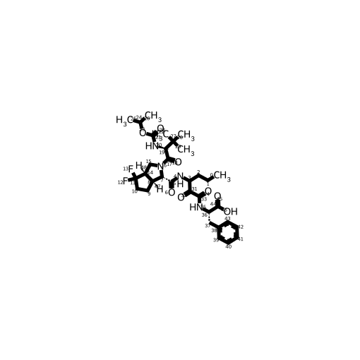 CCCC(NC(=O)[C@@H]1[C@H]2CCC(F)(F)[C@H]2CN1C(=O)[C@@H](NC(=O)OC(C)C)C(C)(C)C)C(=O)C(=O)N[C@@H](Cc1ccccc1)C(=O)O